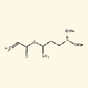 C=CC(=O)OC([SiH3])CC[SiH](OC)OC